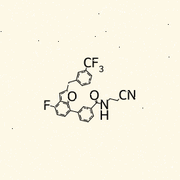 N#CCCNC(=O)c1cccc(-c2ccc(F)c3cc(Cc4cccc(C(F)(F)F)c4)oc23)c1